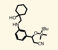 CC(C)(C)[Si](C)(C)OC(CC#N)c1cccc(NCC2(O)CCCCC2)c1